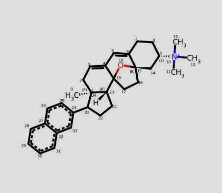 C[C@]12CC=C3C=C4CC[C@H]([N+](C)(C)C)C[C@]45CCC3(O5)[C@@H]1CCC2c1ccc2ccccc2c1